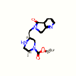 C[C@@H]1CN[C@@H](CN2Cc3ncccc3C2=O)CN1C(=O)OC(C)(C)C